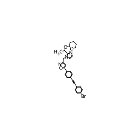 CC(OC1CCCCO1)c1nccn1Cc1cc(-c2ccc(C#Cc3ccc(Br)cc3)cc2)on1